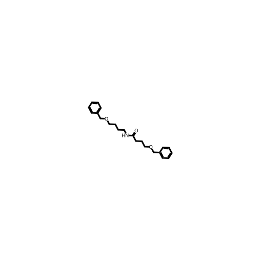 O=C(CCCOCc1ccccc1)NCCCCOCc1ccccc1